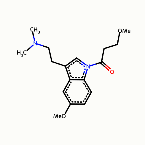 COCCC(=O)n1cc(CCN(C)C)c2cc(OC)ccc21